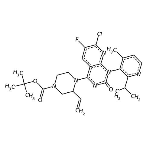 C=CC1CN(C(=O)OC(C)(C)C)CCN1c1nc(=O)n(-c2c(C)ccnc2C(C)C)c2nc(Cl)c(F)cc12